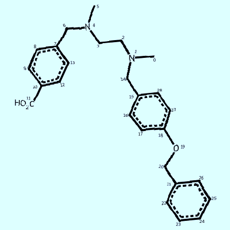 CN(CCN(C)Cc1ccc(C(=O)O)cc1)Cc1ccc(OCc2ccccc2)cc1